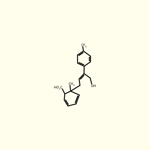 CC1(C/C=C(\CO)c2ccc(C(F)(F)F)cc2)C=CC=CC1C(=O)O